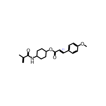 C=C(C)C(=O)NC1CCC(OC(=O)/C=C/c2ccc(OC)cc2)CC1